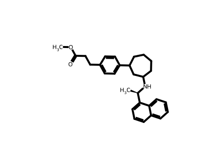 COC(=O)CCc1ccc(C2CCCCC(N[C@H](C)c3cccc4ccccc34)C2)cc1